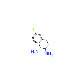 N[C@@H]1CCc2cc(F)ccc2[C@H]1N